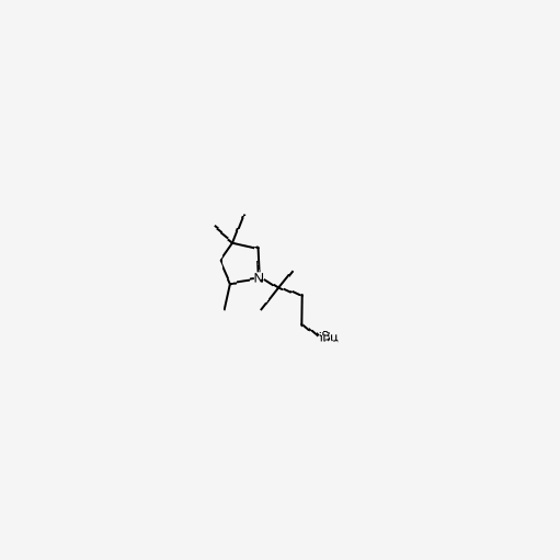 CCC(C)CCC(C)(C)N1CC(C)(C)CC1C